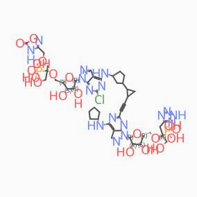 O=c1[nH]c(COCC(CO)(OC[C@H]2O[C@@H](n3ncc4c(NC5CCC(C6CC6C#Cc6nc(NC7CCCC7)c7cnn([C@@H]8O[C@H](CO[C@](CO)(Cc9nn[nH]n9)P(=O)(O)O)[C@@H](O)[C@H]8O)c7n6)C5)nc(Cl)nc43)[C@H](O)[C@@H]2O)P(=O)(O)O)no1